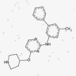 Cc1cc(Nc2nccc(OC3CCNCC3)n2)cc(-c2ccccc2)c1